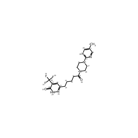 Cc1cnc(N2CCN(C(=O)CCCCc3cc(C(F)(F)F)c(=O)[nH]n3)CC2)nc1